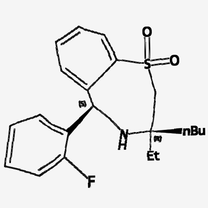 CCCC[C@]1(CC)CS(=O)(=O)c2ccccc2[C@H](c2ccccc2F)N1